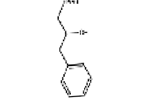 CCCCCCC(O)[CH]c1ccccc1